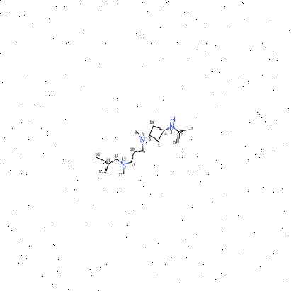 C=C(C)N[C@H]1C[C@H](N(C)CCCN(C)CC(C)C)C1